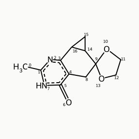 Cc1nc2c(c(=O)[nH]1)CC1(OCCO1)C1CC21